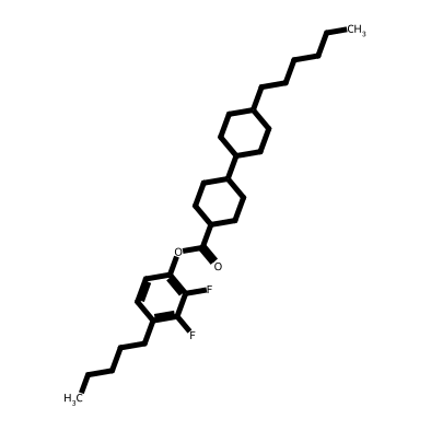 CCCCCCC1CCC(C2CCC(C(=O)Oc3ccc(CCCCC)c(F)c3F)CC2)CC1